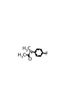 CC(=O)N(C)c1ccc(F)cc1